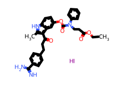 CCOC(=O)CCN(C(=O)Oc1ccc2[nH]c(C)c(C(=O)CCc3ccc(C(=N)N)cc3)c2c1)c1ccccc1.I